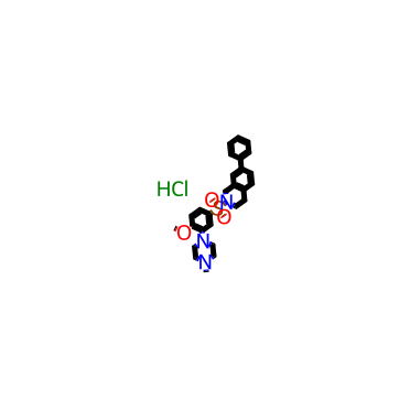 COc1ccc(S(=O)(=O)N2CCc3ccc(-c4ccccc4)cc3C2)cc1N1CCN(C)CC1.Cl